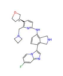 Fc1ccn2c(-c3ccc(Nc4ccc([C@H]5CCOC5)c(CN5CCC5)n4)c4c3CNC4)cnc2c1